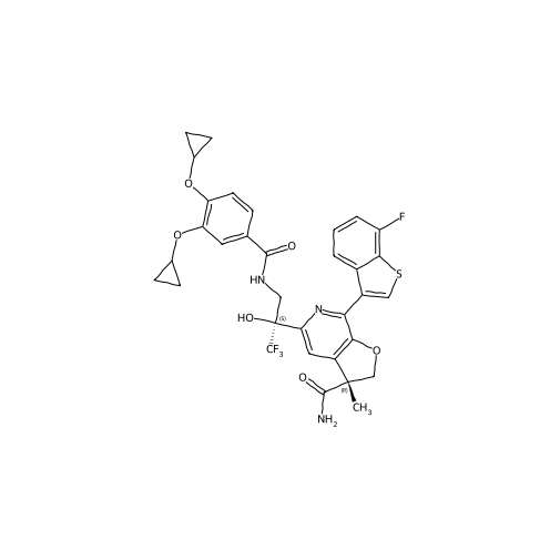 C[C@]1(C(N)=O)COc2c1cc([C@@](O)(CNC(=O)c1ccc(OC3CC3)c(OC3CC3)c1)C(F)(F)F)nc2-c1csc2c(F)cccc12